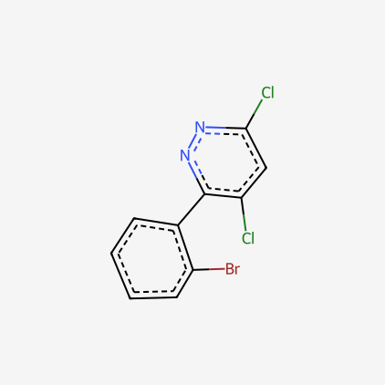 Clc1cc(Cl)c(-c2ccccc2Br)nn1